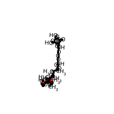 COc1cccc(OC)c1-c1cc(C(=O)NC2(C(=O)O)C3CC4CC(C3)CC2C4)nn1-c1ccc(C(=O)N(C)CCCN(C)CCCN(C)C(=O)CCC(=O)NCCCOCCOCCOCCCNC(=O)CN2CCN(CC=O)CCN(CC(=O)O)CCN(CC(=O)O)CC2)cc1C(C)C